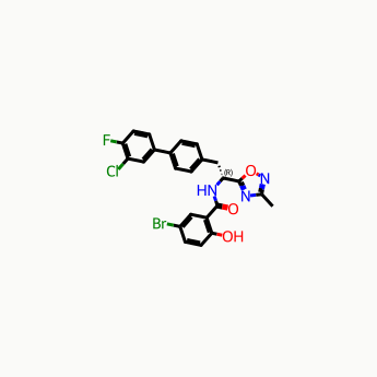 Cc1noc([C@@H](Cc2ccc(-c3ccc(F)c(Cl)c3)cc2)NC(=O)c2cc(Br)ccc2O)n1